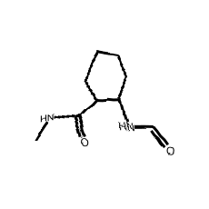 CNC(=O)C1CCCCC1NC=O